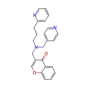 O=c1c(CN(CCCc2ccccn2)Cc2ccncc2)coc2ccccc12